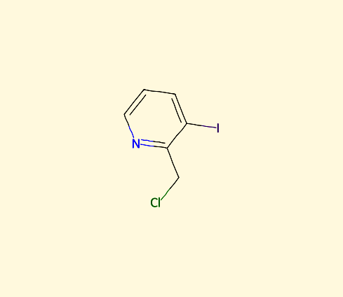 ClCc1ncccc1I